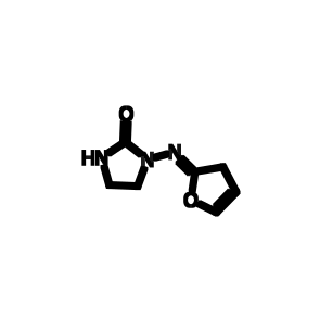 O=C1NCCN1N=C1CC=CO1